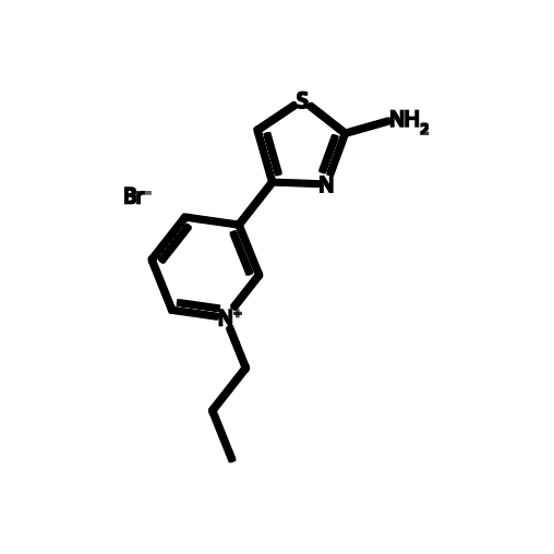 CCC[n+]1cccc(-c2csc(N)n2)c1.[Br-]